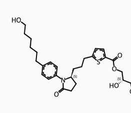 O=C(OC[C@@H](O)CO)c1ccc(CCC[C@H]2CCC(=O)N2c2ccc(CCCCCCO)cc2)s1